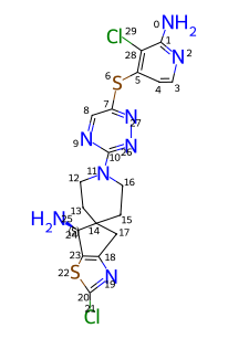 Nc1nccc(Sc2cnc(N3CCC4(CC3)Cc3nc(Cl)sc3[C@H]4N)nn2)c1Cl